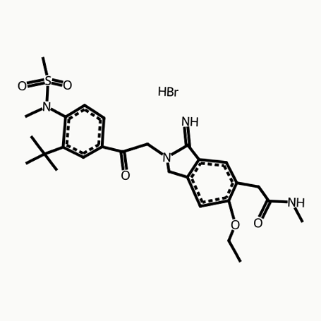 Br.CCOc1cc2c(cc1CC(=O)NC)C(=N)N(CC(=O)c1ccc(N(C)S(C)(=O)=O)c(C(C)(C)C)c1)C2